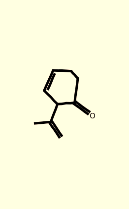 C=C(C)C1C=CCCC1=O